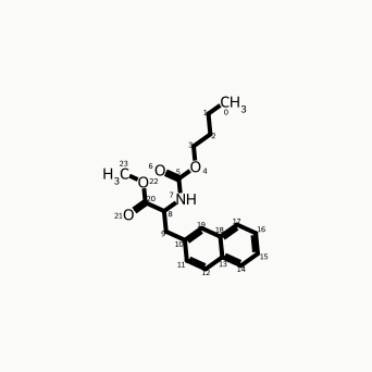 CCCCOC(=O)NC(Cc1ccc2ccccc2c1)C(=O)OC